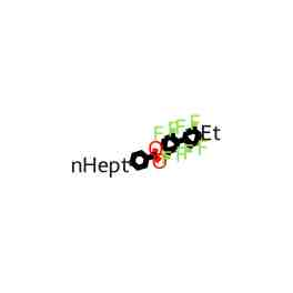 CCCCCCCC1CCC(C(=O)Oc2c(F)c(F)c(-c3c(F)c(F)c(CC)c(F)c3F)c(F)c2F)CC1